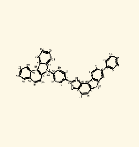 c1ccc(-c2ccc3c(c2)sc2ccc4oc(-c5ccc(-n6c7ccccc7c7c8ccccc8ccc76)cc5)nc4c23)cc1